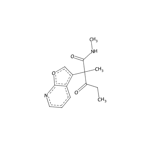 CCC(=O)C(C)(C(=O)NC)c1coc2ncccc12